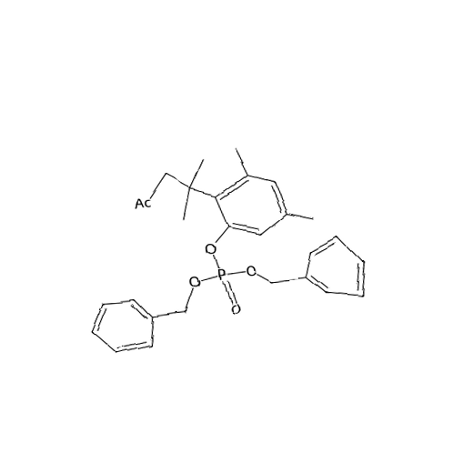 CC(=O)CC(C)(C)c1c(C)cc(C)cc1OP(=O)(OCc1ccccc1)OCc1ccccc1